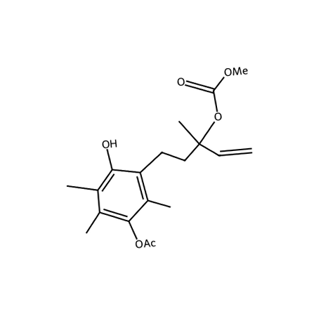 C=CC(C)(CCc1c(C)c(OC(C)=O)c(C)c(C)c1O)OC(=O)OC